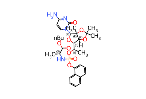 CCCCOC(=O)[C@H](C)NP(=O)(Oc1cccc2ccccc12)O[C@H](C)[C@H]1O[C@@H](n2ccc(N)nc2=O)[C@]2(C)OC(C)(C)O[C@H]12